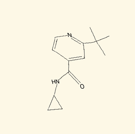 CC(C)(C)c1cc(C(=O)NC2CC2)ccn1